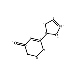 O=C1C=C(C2CC=NO2)CCC1